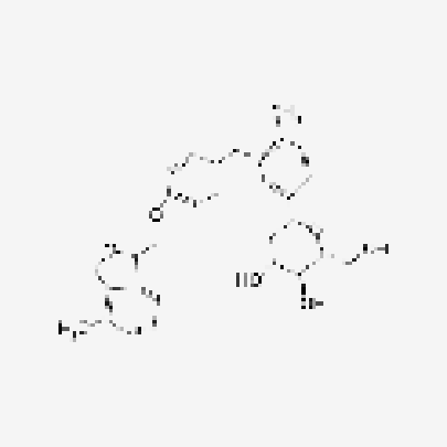 Cc1ccc([C@H]2C[C@@H](O)[C@H](O)[C@@H](CO)O2)cc1Cc1ccc(OCC2OCc3c(C)cccc32)cc1